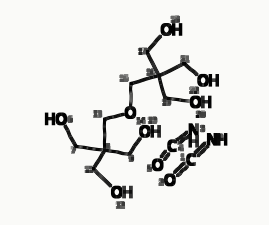 N=C=O.N=C=O.OCC(CO)(CO)COCC(CO)(CO)CO